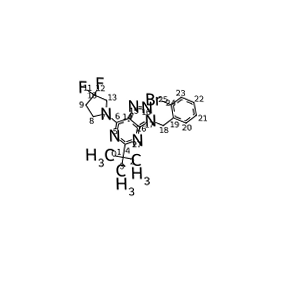 CC(C)(C)c1nc(N2CCC(F)(F)C2)c2nnn(Cc3ccccc3Br)c2n1